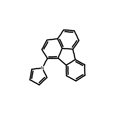 c1ccc2c(c1)-c1cccc3ccc(-n4cccc4)c-2c13